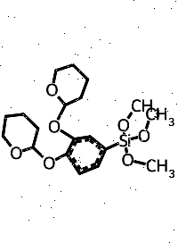 CO[Si](OC)(OC)c1ccc(OC2CCCCO2)c(OC2CCCCO2)c1